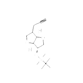 C#CCC1CO[C@H]2[C@@H]1OC[C@H]2O[Si](C)(C)C(C)(C)C